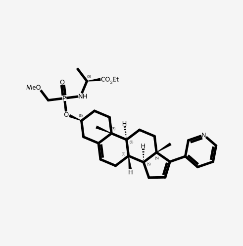 CCOC(=O)[C@H](C)NP(=O)(COC)O[C@H]1CC[C@@]2(C)C(=CC[C@@H]3[C@@H]2CC[C@]2(C)C(c4cccnc4)=CC[C@@H]32)C1